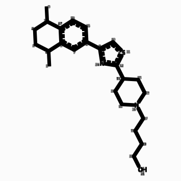 CC1CCC(C)c2cc(-c3csc(C4CCN(CCCCO)CC4)n3)ccc21